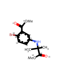 COC(=O)c1cc(NC(C)(C)C(=O)OC)ccc1Br